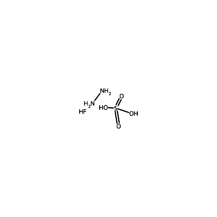 F.NN.O=S(=O)(O)O